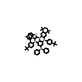 Cc1ccc2oc3c(c2c1)N(c1ccc(C(C)(C)C)cc1-c1ccccc1)c1cc(N(c2ccccc2)c2ccccc2)cc2c1B3c1cc3c(cc1N2c1ccc(C(C)(C)C)cc1)C(C)(C)CCC3(C)C